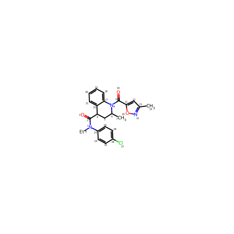 CCN(C(=O)C1CC(C)N(C(=O)c2cc(C)no2)c2ccccc21)c1ccc(Cl)cc1